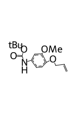 C=CCOc1ccc(NC(=O)OC(C)(C)C)cc1OC